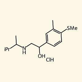 CSc1ccc(C(O)CNC(C)C(C)C)cc1C.Cl